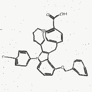 O=C(O)c1ccc(Cc2c(C3CCCNC3)n(-c3ccc(F)cc3)c3cccc(OCc4ccccc4)c23)cc1